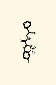 O=C(NCC(O)c1ccccc1)C1=Nc2ccc(I)cc2S(=O)(=O)N1